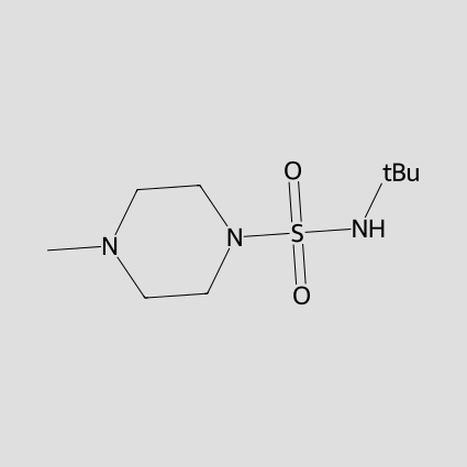 CN1CCN(S(=O)(=O)NC(C)(C)C)CC1